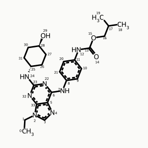 CCn1cnc2c(Nc3ccc(NC(=O)OCC(C)C)cc3)nc(N[C@H]3CC[C@H](O)CC3)nc21